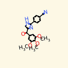 COc1cc(C(=O)c2c[nH]c(-c3ccc(C#N)cc3)n2)cc(OC)c1OC